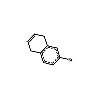 Brc1ccc2c(c1)CC=[C]C2